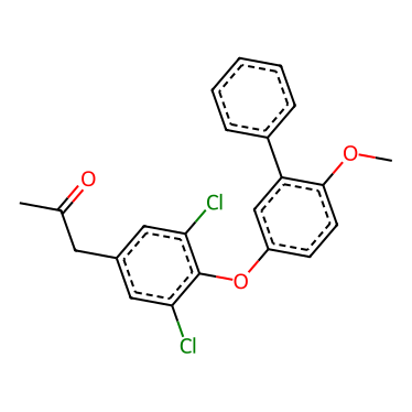 COc1ccc(Oc2c(Cl)cc(CC(C)=O)cc2Cl)cc1-c1ccccc1